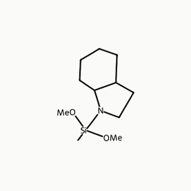 CO[Si](C)(OC)N1CCC2CCCCC21